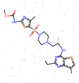 CCc1nc(N[C@@H](C)CN2CCN(S(=O)(=O)c3sc(NC(=O)OC)nc3C)CC2)c2scc(C)c2n1